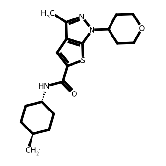 [CH2][C@H]1CC[C@H](NC(=O)c2cc3c(C)nn(C4CCOCC4)c3s2)CC1